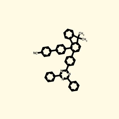 CC1(C)c2ccccc2-c2c1ccc(-c1ccc(-c3nc(-c4ccccc4)nc(-c4ccccc4)n3)cc1)c2-c1ccc(-c2ccc(C#N)cc2)cc1